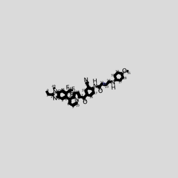 CCc1nc2cc(-c3cccn4c(C(=O)c5ccc(NC(=O)/C=C/CNC6CCC(OC)CC6)c(C#N)c5)ccc34)c(C(F)(F)F)cc2n1C